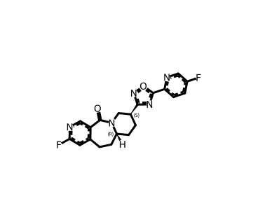 O=C1c2cnc(F)cc2CC[C@H]2CC[C@H](c3noc(-c4ccc(F)cn4)n3)CN12